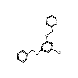 Clc1cc(OCc2ccccc2)cc(OCc2ccccc2)n1